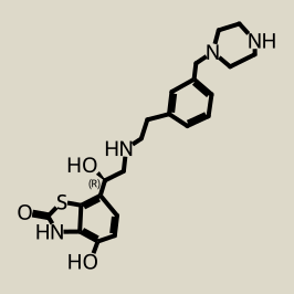 O=c1[nH]c2c(O)ccc([C@@H](O)CNCCc3cccc(CN4CCNCC4)c3)c2s1